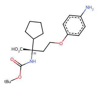 CC(C)(C)OC(=O)N[C@](CCOc1ccc(N)cc1)(C(=O)O)C1CCCC1